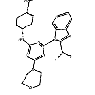 CN[C@H]1CC[C@H](Nc2nc(N3CCOCC3)nc(-n3c(C(F)F)nc4ccccc43)n2)CC1